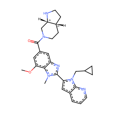 COc1cc(C(=O)N2CC[C@H]3CCN[C@H]3C2)cc2nc(-c3cc4cccnc4n3CC3CC3)n(C)c12